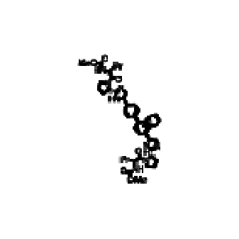 COC(=O)N[C@H](C(=O)N1CCC[C@H]1c1ncc(-c2ccc(-c3ccc(-c4cnc([C@@H]5CCCN5C(=O)[C@@H](NC(=O)OC)C(C)C)[nH]4)c4c3C3C=CC4N3C)cc2)[nH]1)C(C)C